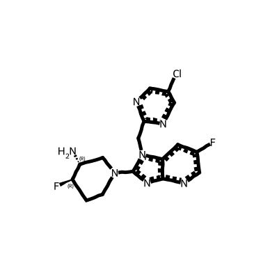 N[C@@H]1CN(c2nc3ncc(F)cc3n2Cc2ncc(Cl)cn2)CC[C@H]1F